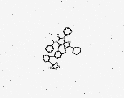 CC(c1ccccc1)n1c(=O)c2c(nc(C3CCCCC3)n2Cc2ccc(-c3ccccc3-c3nnn[nH]3)cc2)n(-c2ccccc2)c1=O